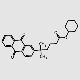 CC(C)(CCCC(=O)OC1CCCCC1)c1ccc2c(c1)C(=O)c1ccccc1C2=O